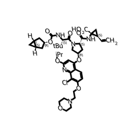 C=C[C@@H]1C[C@]1(NC(=O)[C@@H]1C[C@@H](Oc2cc(OC(C)C)nc3c(Cl)c(OCCN4CCOCC4)ccc23)CN1C(=O)[C@@H](NC(=O)O[C@@H]1C[C@@H]2C[C@@H]2C1)C(C)(C)C)C(=O)O